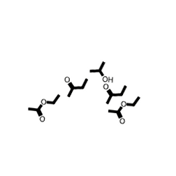 CC(C)O.CCC(C)=O.CCC(C)=O.CCOC(C)=O.CCOC(C)=O